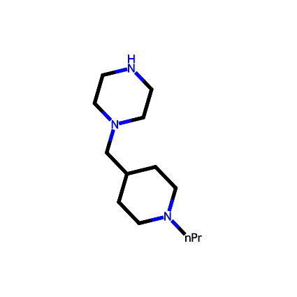 CCCN1CCC(CN2CCNCC2)CC1